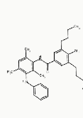 CCCCc1cc(C(=O)Nc2c(C)cc(C)c(Nc3ccccc3)c2C)cc(CCCC)c1O